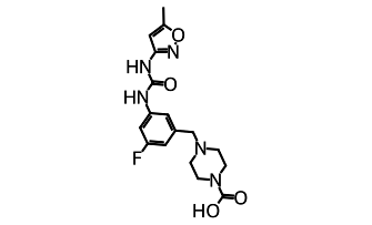 Cc1cc(NC(=O)Nc2cc(F)cc(CN3CCN(C(=O)O)CC3)c2)no1